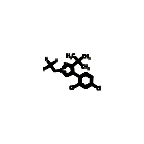 CC(C)(C)c1nn(CC(F)(F)F)cc1-c1ccc(Cl)cc1Cl